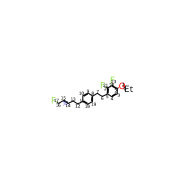 CCOc1ccc(CCc2ccc(CC/C=C/CF)cc2)c(F)c1F